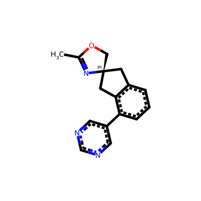 CC1=N[C@]2(CO1)Cc1cccc(-c3cncnc3)c1C2